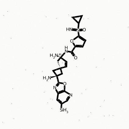 N=S(=O)(c1ccc(C(=O)N[C@@]2(N)C=C[C@]3(C2)C[C@@](N)(c2nc4cc([SiH3])cnc4o2)C3)o1)C1CC1